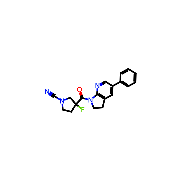 N#CN1CCC(F)(C(=O)N2CCc3cc(-c4ccccc4)cnc32)C1